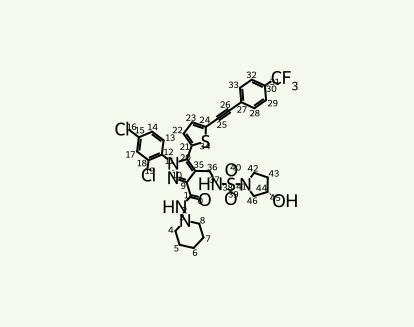 O=C(NN1CCCCC1)c1nn(-c2ccc(Cl)cc2Cl)c(-c2ccc(C#Cc3ccc(C(F)(F)F)cc3)s2)c1CNS(=O)(=O)N1CC[C@H](O)C1